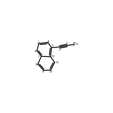 FC#Cc1c[c]cc2ccccc12